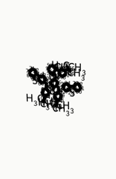 CC(C)(C)c1ccc2c(c1)B1c3cc(C(C)(C)C)ccc3N(c3ccc4c(c3)sc3ccccc34)c3cc(N4c5ccc(C(C)(C)C)cc5C5(C)CCCCC45C)cc(c31)N2c1ccc2c(c1)sc1ccccc12